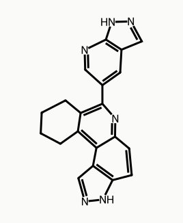 c1nc2[nH]ncc2cc1-c1nc2ccc3[nH]ncc3c2c2c1CCCC2